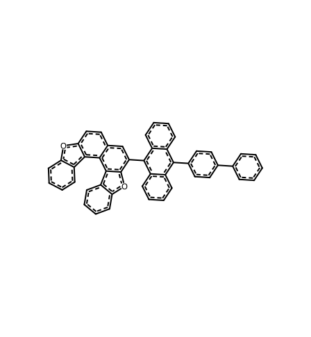 c1ccc(-c2ccc(-c3c4ccccc4c(-c4cc5ccc6oc7ccccc7c6c5c5c4oc4ccccc45)c4ccccc34)cc2)cc1